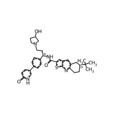 CC(C)(C)[C@H]1CCc2nc3sc(C(=O)N[C@H](CCN4CCC(O)C4)c4ccc(-c5ccc(=O)[nH]c5)cc4)cc3cc2C1